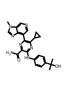 Cn1cnc2c(-c3nc(C(N)=O)c(Nc4ccc(C(C)(C)O)cc4)nc3C3CC3)cncc21